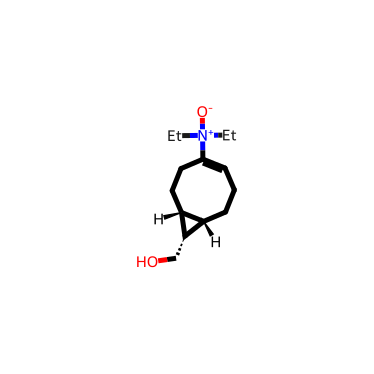 CC[N+]([O-])(CC)/C1=C/CC[C@@H]2[C@H](CO)[C@@H]2CC1